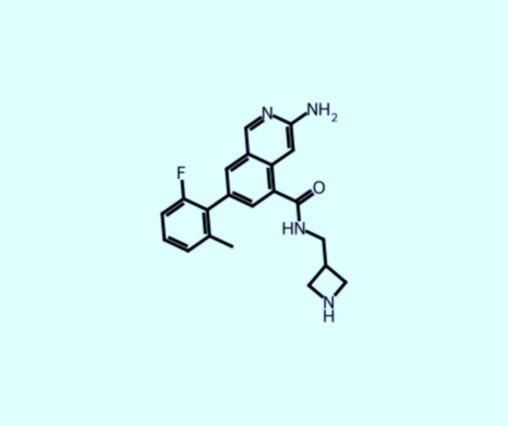 Cc1cccc(F)c1-c1cc(C(=O)NCC2CNC2)c2cc(N)ncc2c1